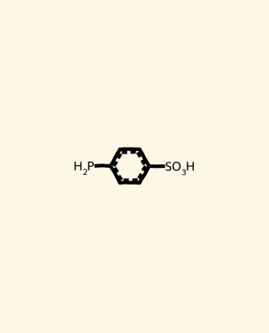 O=S(=O)(O)c1ccc(P)cc1